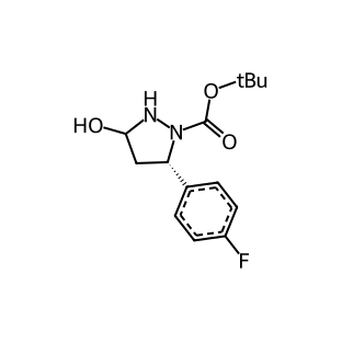 CC(C)(C)OC(=O)N1NC(O)C[C@H]1c1ccc(F)cc1